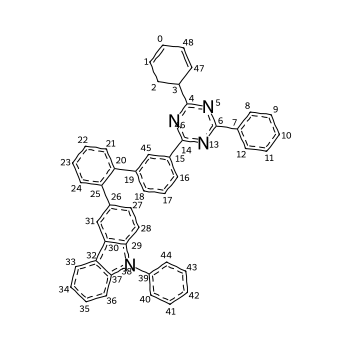 C1=CCC(c2nc(-c3ccccc3)nc(-c3cccc(-c4ccccc4-c4ccc5c(c4)c4ccccc4n5-c4ccccc4)c3)n2)C=C1